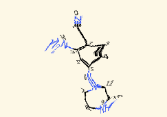 N#Cc1ccc(N2CCNCC2)cc1N